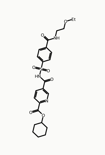 CCOCCNC(=O)c1ccc(S(=O)(=O)NC(=O)c2ccc(C(=O)OC3CCCCC3)nc2)cc1